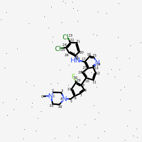 CN1CCN(Cc2ccc(-c3ccc4nccc(Nc5ccc(Cl)c(Cl)c5)c4c3)c(F)c2)CC1